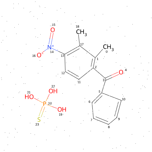 Cc1c(C(=O)c2ccccc2)ccc([N+](=O)[O-])c1C.OP(O)(O)=S